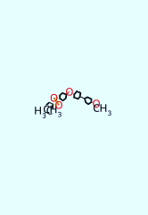 C/C=C\C(=C/C)S(=O)(=O)c1ccc(Oc2ccc(-c3ccc(OC)cc3)cc2)cc1